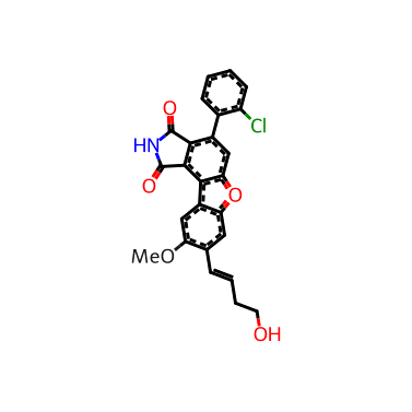 COc1cc2c(cc1/C=C/CCO)oc1cc(-c3ccccc3Cl)c3c(c12)C(=O)NC3=O